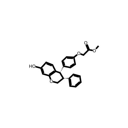 COC(=O)COc1ccc([C@H]2c3ccc(O)cc3OC[C@H]2c2ccccc2)cc1